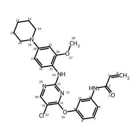 C=CC(=O)Nc1cccc(Oc2nc(Nc3ccc(N4CCCCC4)cc3OC)ncc2Cl)c1